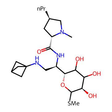 CCC[C@@H]1C[C@@H](C(=O)N[C@H](CNC23CC(C2)C3)[C@H]2OC(SC)[C@H](O)C(O)C2O)N(C)C1